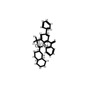 C=C(c1ccccc1)c1cc(-c2ccccc2)cc(C(C)(C)C)c1NC(=O)C1CCC2CCCCC2C1